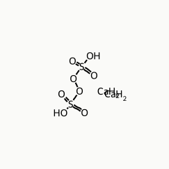 O=S(=O)(O)OOS(=O)(=O)O.[CaH2].[CaH2]